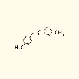 Cc1ccc(C[C]Cc2ccc(C)cc2)cc1